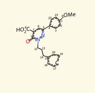 COc1ccc(-c2cc(C(=O)O)c(=O)n(CCCc3ccccc3)n2)cc1